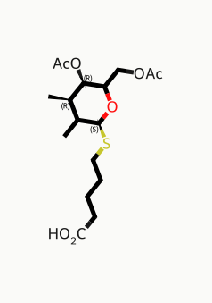 CC(=O)OCC1O[C@@H](SCCCCC(=O)O)C(C)[C@@H](C)[C@H]1OC(C)=O